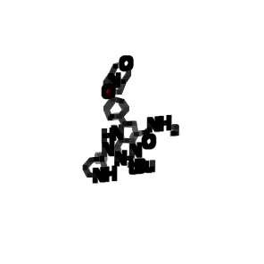 CC(C)(C)c1nc(N[C@H]2CCCNC2)c2nc(-c3ccc(CN4C5COCC4COC5)cc3)cc(C(N)=O)c2n1